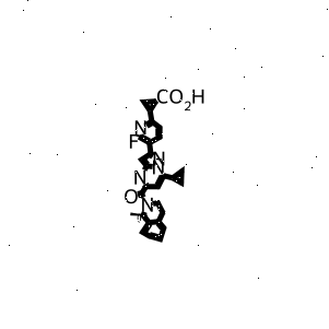 C[C@@H]1c2ccccc2CCN1C(=O)c1cc(C2CC2)n2nc(-c3ccc(C4CC4C(=O)O)nc3F)cc2n1